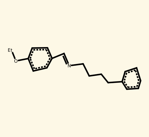 CCOc1ccc(C=NCCCCc2ccccc2)cc1